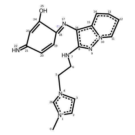 C[n+]1ccn(CCNc2nn3ccccc3c2/N=C2\C=CC(=N)C=C2O)c1